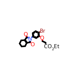 CCOC(=O)CCOc1cc(N2C(=O)C3=C(CCCC3)C2=O)ccc1Br